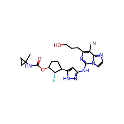 CC1(NC(=O)O[C@H]2CC[C@@H](c3cc(Nc4nc(CCCO)c(C#N)c5nccn45)n[nH]3)[C@H]2F)CC1